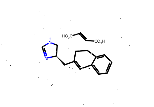 C1=N[C@H](CC2=Cc3ccccc3CC2)CN1.O=C(O)C=CC(=O)O